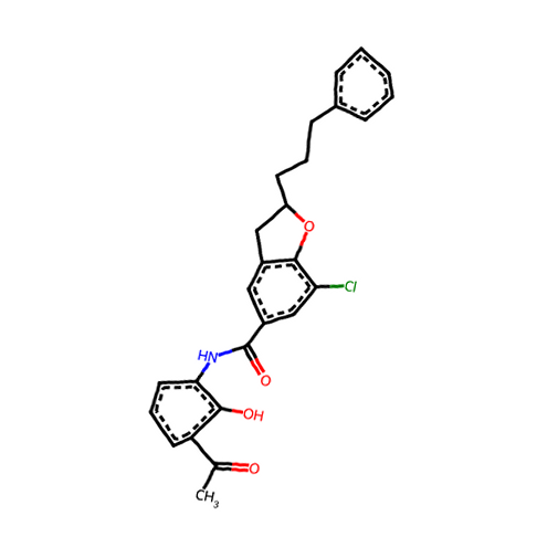 CC(=O)c1cccc(NC(=O)c2cc(Cl)c3c(c2)CC(CCCc2ccccc2)O3)c1O